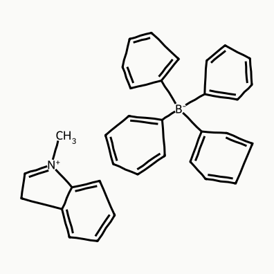 C[N+]1=CCc2ccccc21.c1ccc([B-](c2ccccc2)(c2ccccc2)c2ccccc2)cc1